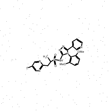 COc1cccc(OC)c1-n1c(NS(=O)(=O)C(C)Cc2ncc(F)cn2)nnc1-c1cccnc1